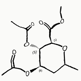 COC(=O)[C@H]1OC(C)C[C@@H](OC(C)=O)[C@@H]1OC(C)=O